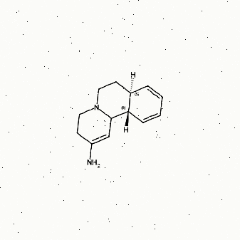 NC1=CC2[C@H]3C=CC=C[C@@H]3CCN2CC1